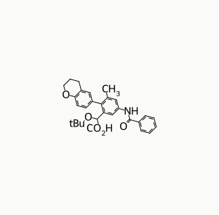 Cc1cc(NC(=O)c2ccccc2)cc(C(OC(C)(C)C)C(=O)O)c1-c1ccc2c(c1)CCCO2